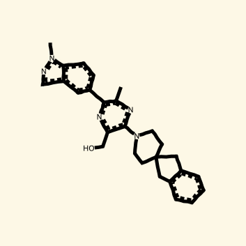 Cc1nc(N2CCC3(CC2)Cc2ccccc2C3)c(CO)nc1-c1ccc2c(cnn2C)c1